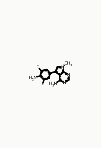 Cn1cc(-c2cc(F)c(N)c(F)c2)c2c(N)ncnc21